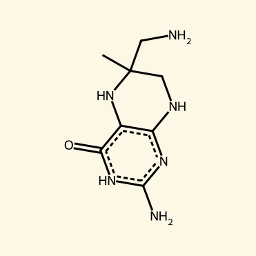 CC1(CN)CNc2nc(N)[nH]c(=O)c2N1